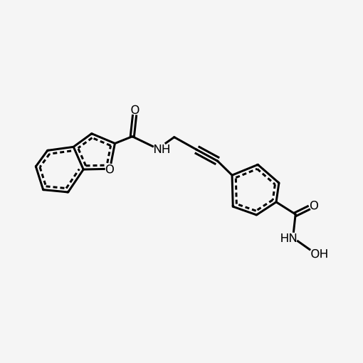 O=C(NO)c1ccc(C#CCNC(=O)c2cc3ccccc3o2)cc1